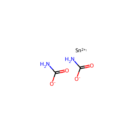 NC(=O)[O-].NC(=O)[O-].[Sn+2]